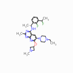 CCN1CCN(c2cc3c(N[C@H](C)c4cccc(C(C)F)c4F)nc(C)nc3nc2OC2CN(C)C2)CC1